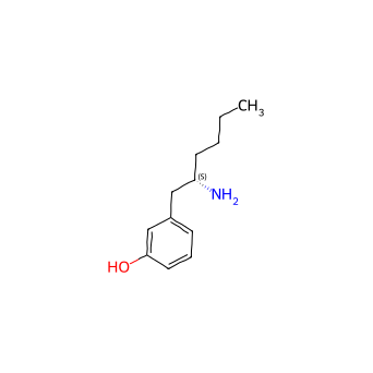 CCCC[C@H](N)Cc1cccc(O)c1